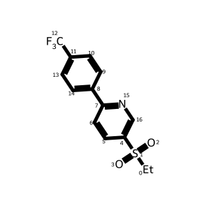 CCS(=O)(=O)c1ccc(-c2ccc(C(F)(F)F)cc2)nc1